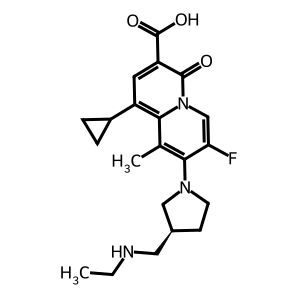 CCNC[C@@H]1CCN(c2c(F)cn3c(=O)c(C(=O)O)cc(C4CC4)c3c2C)C1